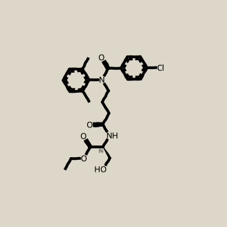 CCOC(=O)[C@H](CO)NC(=O)CCCN(C(=O)c1ccc(Cl)cc1)c1c(C)cccc1C